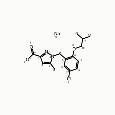 Cc1cc(C(=O)[O-])nn1Cc1cc(Cl)ccc1OCC(C)C.[Na+]